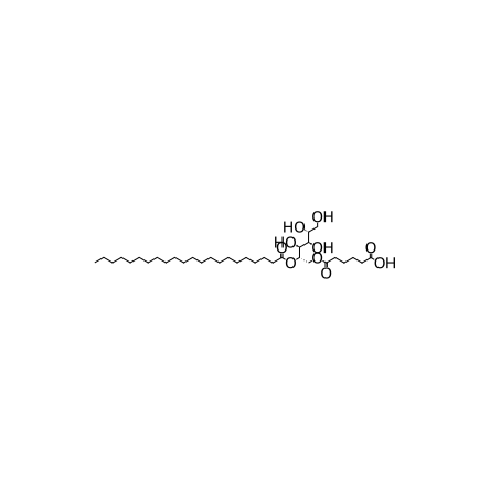 CCCCCCCCCCCCCCCCCCCCCC(=O)O[C@@H](COC(=O)CCCCC(=O)O)[C@@H](O)[C@H](O)[C@H](O)CO